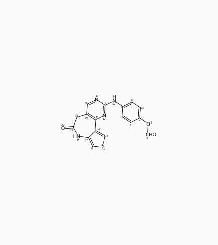 O=COc1ccc(Nc2ncc3c(n2)-c2cscc2NC(=O)C3)cc1